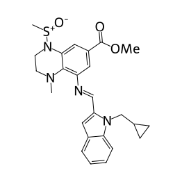 COC(=O)c1cc(/N=C/c2cc3ccccc3n2CC2CC2)c2c(c1)N([S+](C)[O-])CCN2C